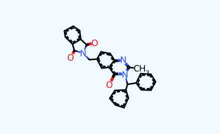 Cc1nc2ccc(CN3C(=O)c4ccccc4C3=O)cc2c(=O)n1C(c1ccccc1)c1ccccc1